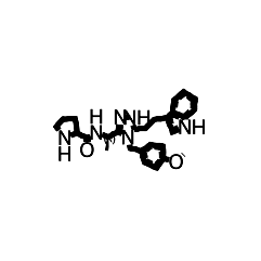 COc1ccc(CN2C([C@@H](C)NC(=O)C3CCCN3)=NNC2CCc2c[nH]c3ccccc23)cc1